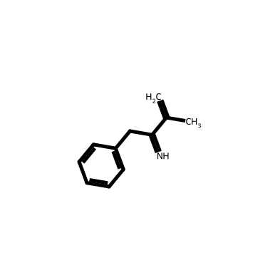 C=C(C)C(=N)Cc1ccccc1